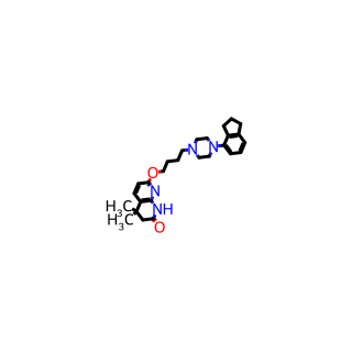 CC1(C)CC(=O)Nc2nc(OCCCCN3CCN(c4cccc5c4CCC5)CC3)ccc21